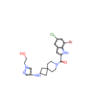 O=C(c1cc2cc(Cl)cc(Br)c2[nH]1)N1CCC2(CC1)CC(Nc1cnn(CCO)c1)C2